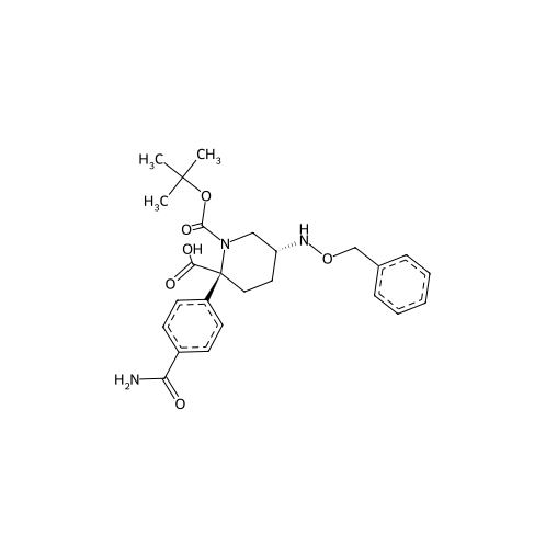 CC(C)(C)OC(=O)N1C[C@H](NOCc2ccccc2)CC[C@@]1(C(=O)O)c1ccc(C(N)=O)cc1